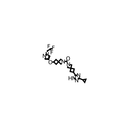 O=C(N1CC2(CC(Oc3cnn(CC(F)(F)F)c3)C2)C1)N1CC2(CC(c3nc(C4CC4)n[nH]3)C2)C1